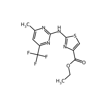 CCOC(=O)c1csc(Nc2nc(C)cc(C(F)(F)F)n2)n1